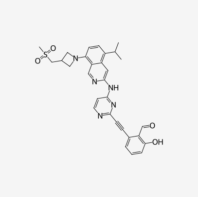 CC(C)c1ccc(N2CC(CS(C)(=O)=O)C2)c2cnc(Nc3ccnc(C#Cc4cccc(O)c4C=O)n3)cc12